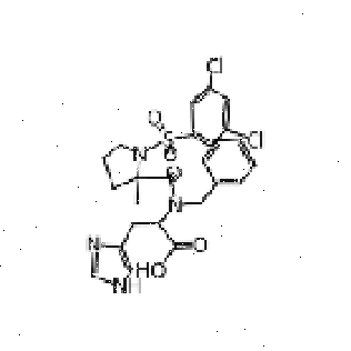 C[C@@]1(C(=O)N(Cc2ccccc2)C(Cc2c[nH]cn2)C(=O)O)CCCN1S(=O)(=O)c1cc(Cl)cc(Cl)c1